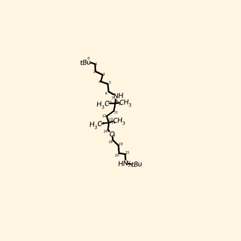 CC(C)(C)CCCCCCNC(C)(C)CCC(C)(C)COCCCCNC(C)(C)C